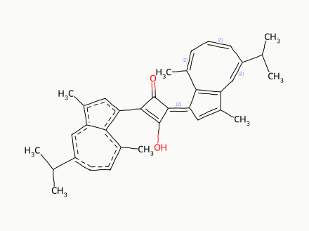 CC1=C/C(=C2/C(=O)C(c3cc(C)c4cc(C(C)C)ccc(C)c3-4)=C2O)C2=C1\C=C(C(C)C)/C=C\C=C/2C